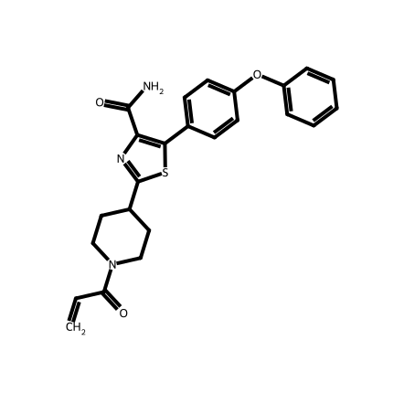 C=CC(=O)N1CCC(c2nc(C(N)=O)c(-c3ccc(Oc4ccccc4)cc3)s2)CC1